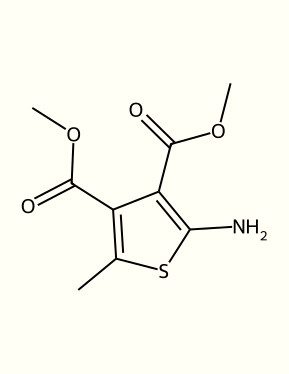 COC(=O)c1c(C)sc(N)c1C(=O)OC